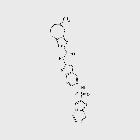 CN1CCCn2nc(C(=O)Nc3nc4ccc(NS(=O)(=O)c5cn6ccccc6n5)cc4s3)cc2C1